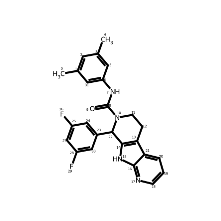 Cc1cc(C)cc(NC(=O)N2CCc3c([nH]c4ncccc34)C2c2cc(F)cc(F)c2)c1